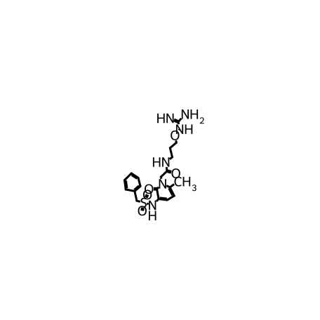 Cc1ccc(NS(=O)(=O)Cc2ccccc2)c(=O)n1CC(=O)NCCCONC(=N)N